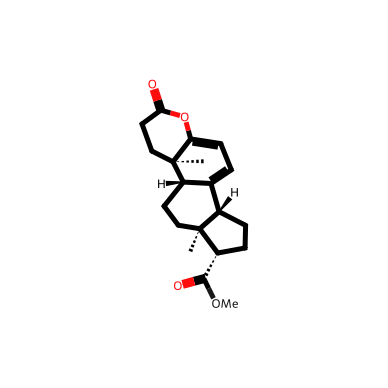 COC(=O)[C@H]1CC[C@H]2C3=CC=C4OC(=O)CC[C@]4(C)[C@H]3CC[C@]12C